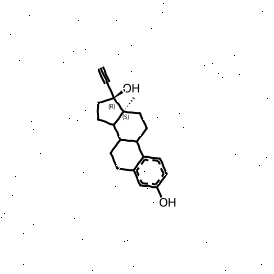 C#C[C@@]1(O)CCC2C3CCc4cc(O)ccc4C3CC[C@@]21C